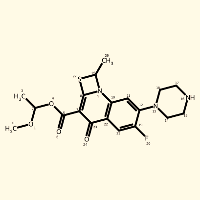 COC(C)OC(=O)c1c2n(c3cc(N4CCNCC4)c(F)cc3c1=O)C(C)S2